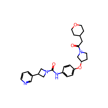 O=C(CC1CCOCC1)N1CC[C@@H](Oc2ccc(NC(=O)N3CC(c4cccnc4)C3)cc2)C1